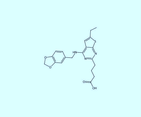 CCc1cc2c(NCc3ccc4c(c3)OCO4)nc(CCCC(=O)O)nc2s1